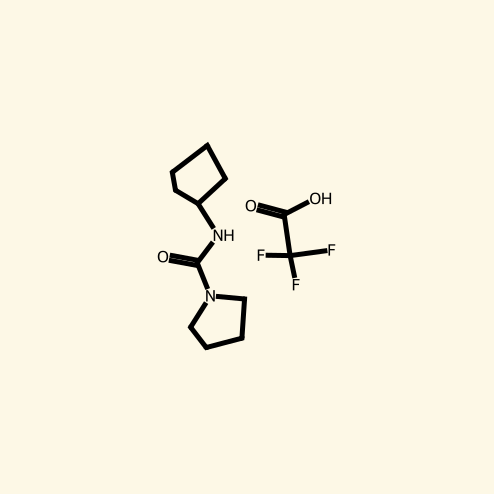 O=C(NC1CCCC1)N1CCCC1.O=C(O)C(F)(F)F